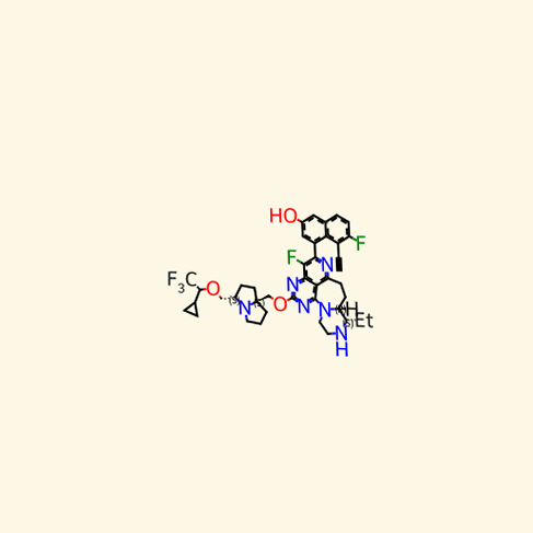 C#Cc1c(F)ccc2cc(O)cc(-c3nc4c5c(nc(OC[C@@]67CCCN6[C@H](COC(C6CC6)C(F)(F)F)CC7)nc5c3F)N3CCN[C@@H](CC)[C@H]3CC4)c12